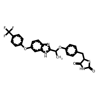 CC(Oc1ccc(CC2SC(=O)NC2=O)cc1)c1nc2ccc(Oc3ccc(C(F)(F)F)cc3)cc2[nH]1